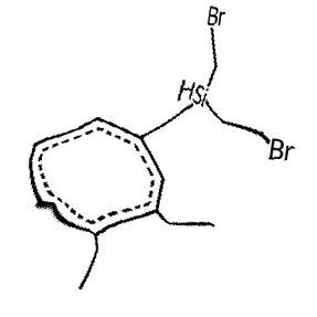 Cc1cccc([SiH](Br)Br)c1C